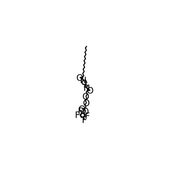 CCCCCCCCCCCCCCCC(=O)N1CCC2(CC1)CN(C(=O)CCOCCOCCC(=O)Oc1c(F)c(F)cc(F)c1F)C2